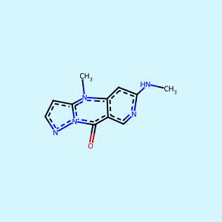 CNc1cc2c(cn1)c(=O)n1nccc1n2C